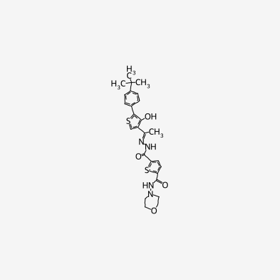 C/C(=N\NC(=O)c1ccc(C(=O)NN2CCOCC2)s1)c1csc(-c2ccc(C(C)(C)C)cc2)c1O